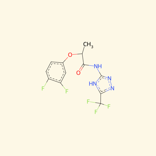 CC(Oc1ccc(F)c(F)c1)C(=O)Nc1nnc(C(F)(F)F)[nH]1